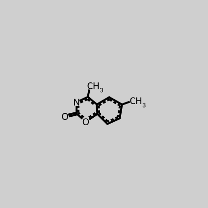 Cc1ccc2oc(=O)nc(C)c2c1